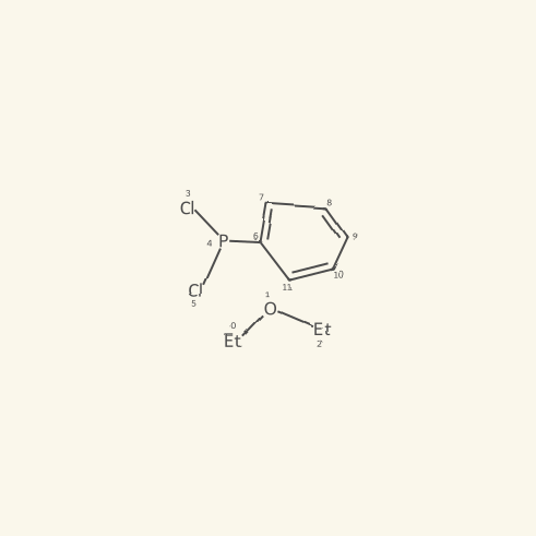 CCOCC.ClP(Cl)c1ccccc1